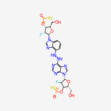 O=[PH](S)O[C@H]1[C@@H](F)[C@H](n2cnc3c(NNc4ncnc5c4ncn5[C@@H]4O[C@H](CO)[C@@H](O[PH](=O)S)[C@H]4F)cccc32)O[C@@H]1CO